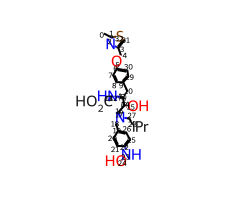 Cc1nc(COc2ccc(C[C@H](NC(=O)O)[C@H](O)CN(Cc3ccc(NO)cc3)CC(C)C)cc2)cs1